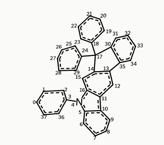 c1ccc(-n2c3ccccc3c3cc4c(cc32)C(c2ccccc2)(c2ccccc2)c2ccccc2-4)cc1